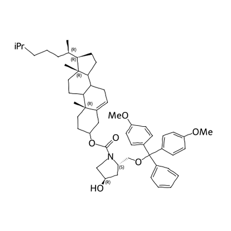 COc1ccc(C(OC[C@@H]2C[C@@H](O)CN2C(=O)OC2CC[C@@]3(C)C(=CCC4C3CC[C@@]3(C)C4CC[C@@H]3[C@H](C)CCCC(C)C)C2)(c2ccccc2)c2ccc(OC)cc2)cc1